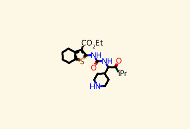 CCOC(=O)c1c(NC(=O)NC(C(=O)C(C)C)C2CCNCC2)sc2c1CCCC2